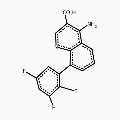 Nc1c(C(=O)O)cnc2c(-c3cc(F)cc(F)c3F)cccc12